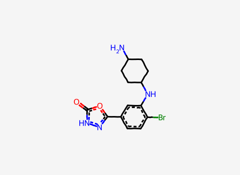 NC1CCC(Nc2cc(-c3n[nH]c(=O)o3)ccc2Br)CC1